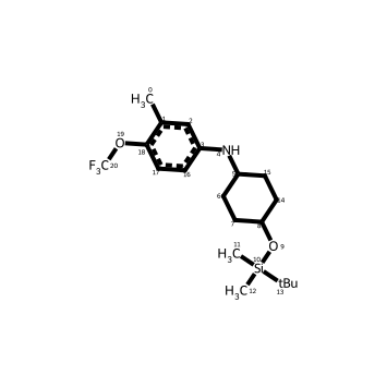 Cc1cc(NC2CCC(O[Si](C)(C)C(C)(C)C)CC2)ccc1OC(F)(F)F